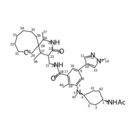 CC(=O)N[C@H]1CC[C@@H](N(C)c2cc(-c3cnn(C)c3)cc(C(=O)NCC3C(=O)NC(C)C4(CCCCCCCC4)C3C)c2C)CC1